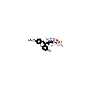 COc1ccc2c(c1)Sc1ccc(Cl)cc1C(C#CC(C)(C)NOS(C)(=O)=O)=C2